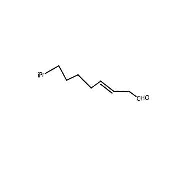 CC(C)CCCCC=CCC=O